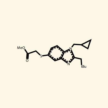 COC(=O)CSc1ccc2c(c1)nc(CC(C)(C)C)n2CC1CC1